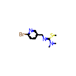 CSC(=NCc1ccc(Br)nc1)N(C)C